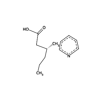 CCC[C@@H](C)CC(=O)O.c1ccncc1